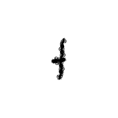 C=CC(=O)OCOc1ccc(OC(=O)C2CCC(C(=O)OCCc3c4c(c(OC(=O)C5CCC(C(=O)Oc6ccc(OCOC(=O)C=C)cc6)CC5)c5ccccc35)SC(=C3C(=O)c5ccccc5C3=O)S4)CC2)cc1